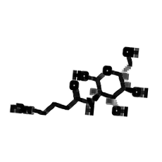 CCCCCCCCCCCCCC(=O)N[C@H]1C(O)O[C@H](CO)[C@@H](O)[C@@H]1O